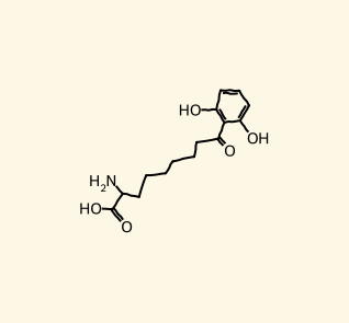 NC(CCCCCCC(=O)c1c(O)cccc1O)C(=O)O